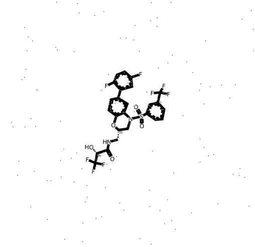 O=C(NC[C@H]1CN(S(=O)(=O)c2cccc(C(F)(F)F)c2)c2cc(-c3cc(F)ccc3F)ccc2O1)[C@@H](O)C(F)(F)F